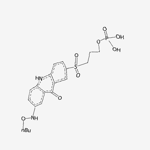 CCCCONc1ccc2[nH]c3ccc(S(=O)(=O)CCCOP(=O)(O)O)cc3c(=O)c2c1